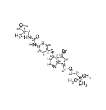 CC1(CNC(=O)Nc2ccc(Sc3ccnc4c3c(Br)cn4COCC[Si](C)(C)C)cc2)COC1